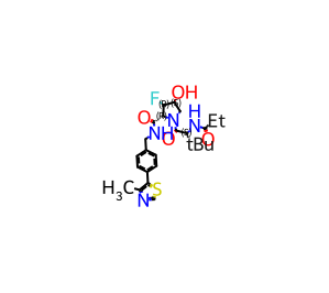 CCC(=O)N[C@H](C(=O)N1C[C@H](O)[C@H](F)[C@H]1C(=O)NCc1ccc(-c2scnc2C)cc1)C(C)(C)C